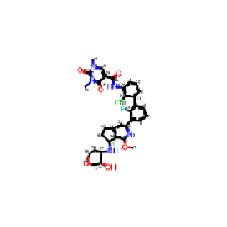 COc1nc(-c2cccc(-c3cccc(NC(=O)c4cn(C)c(=O)n(C)c4=O)c3Cl)c2F)cc2c1C(NC1CCOCC1O)CC2